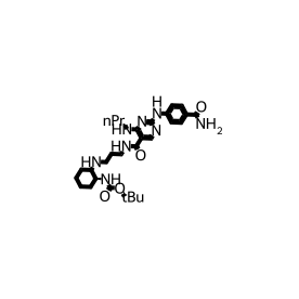 CCCNc1nc(Nc2ccc(C(N)=O)cc2)ncc1C(=O)NCCCNC1CCCC[C@@H]1NC(=O)OC(C)(C)C